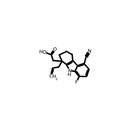 C=CCC1(CC(=O)O)CCCc2c1[nH]c1c(F)ccc(C#N)c21